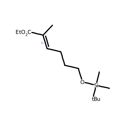 CCOC(=O)/C(C)=C/CCCO[Si](C)(C)C(C)(C)C